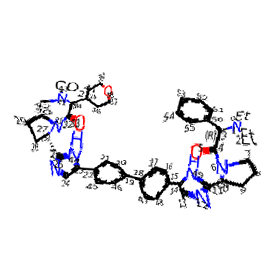 CCN(CC)[C@@H](C(=O)N1CCC[C@H]1c1ncc(-c2ccc(-c3ccc(-c4cnc([C@@H]5CCCN5C(=O)[C@H](C5CCOCC5)N(C)C(=O)O)[nH]4)cc3)cc2)[nH]1)c1ccccc1